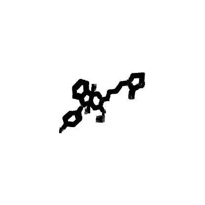 Cl.O=C1OCCN1CCCCN1C[C@H]2c3ccccc3N(c3ccc(F)cc3)[C@@H]2CC1F